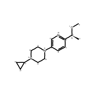 CO[C@@H](C)c1ccc(N2CCN(C3CC3)CC2)cn1